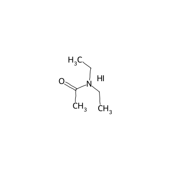 CCN(CC)C(C)=O.I